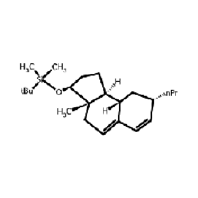 CCC[C@@H]1C=CC2=CC[C@]3(C)[C@@H](O[Si](C)(C)C(C)(C)C)CC[C@H]3[C@@H]2C1